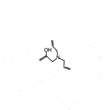 C=CCN(CC=C)CC(=C)O